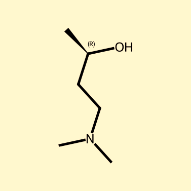 C[C@@H](O)CCN(C)C